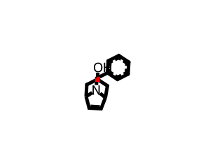 OC1CC2C=CC(C1)N2Cc1ccccc1